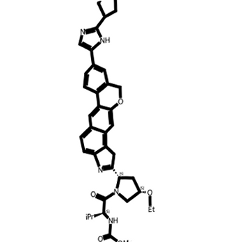 CCO[C@H]1C[C@@H](C2=Nc3ccc4cc5c(cc4c3C2)OCc2cc(-c3cnc(C4CCCC4)[nH]3)ccc2-5)N(C(=O)[C@@H](NC(=O)OC)C(C)C)C1